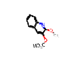 CCOc1nc2ccccc2cc1OC(=O)O